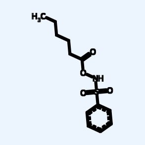 CCCCCC(=O)ONS(=O)(=O)c1ccccc1